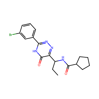 CCC(NC(=O)C1CCCC1)c1nnc(-c2cccc(Br)c2)[nH]c1=O